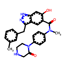 Cc1cccc(Cc2n[nH]c3cc(O)c(C(=O)N(C)c4ccc(N5CCNCC5=O)cc4)cc23)c1